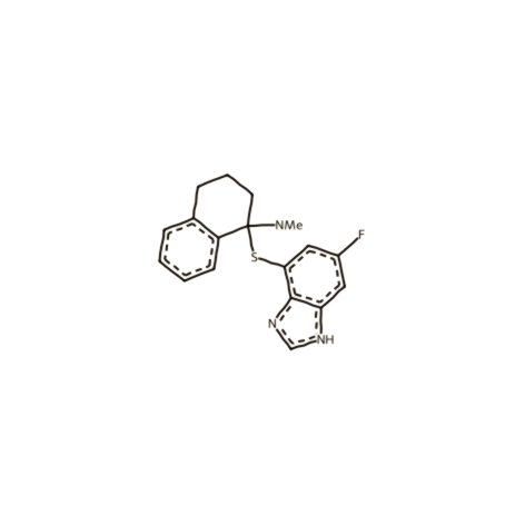 CNC1(Sc2cc(F)cc3[nH]cnc23)CCCc2ccccc21